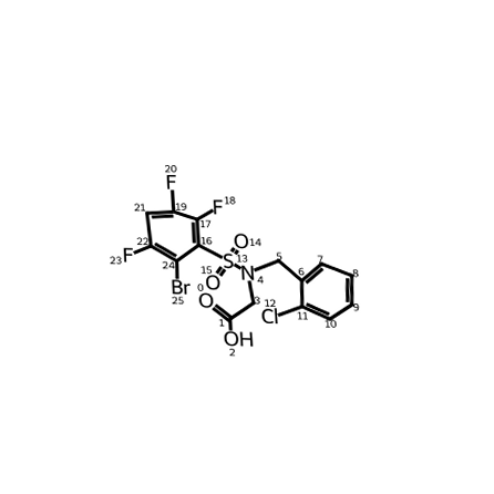 O=C(O)CN(Cc1ccccc1Cl)S(=O)(=O)c1c(F)c(F)cc(F)c1Br